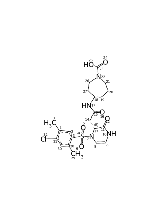 Cc1cc(S(=O)(=O)N2C=CNC(=O)[C@H]2CC(=O)NC2CCCN(C(=O)O)CC2)c(C)cc1Cl